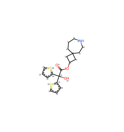 O=C(OC1CC2(CCCNCC2)C1)C(O)(c1cccs1)c1cccs1